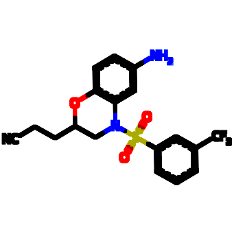 N#CCCC1CN(S(=O)(=O)c2cccc(C(F)(F)F)c2)c2cc(N)ccc2O1